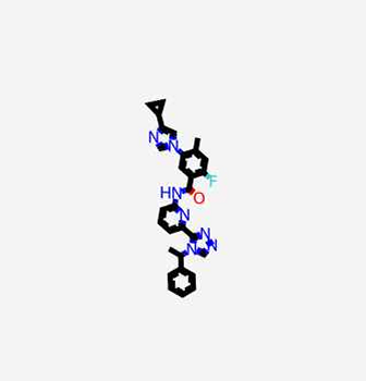 Cc1cc(F)c(C(=O)Nc2cccc(-c3nncn3C(C)c3ccccc3)n2)cc1-n1cnc(C2CC2)c1